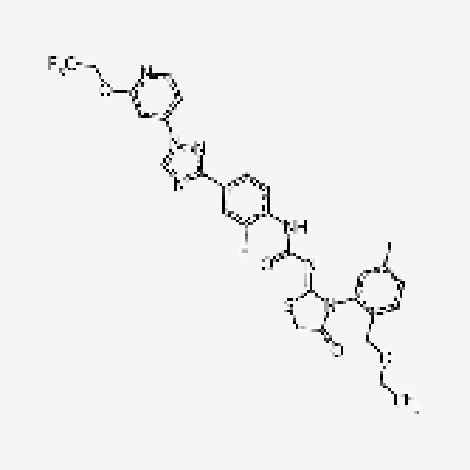 Cc1ccc(COCC(F)(F)F)c(N2C(=O)CS/C2=N\C(=O)Nc2ccc(-c3ncn(-c4ccnc(OCC(F)(F)F)c4)n3)cc2F)c1